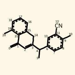 C=C1C=C(C(C)c2ccc(C)c(C#N)c2)Cc2cccc(C)c21